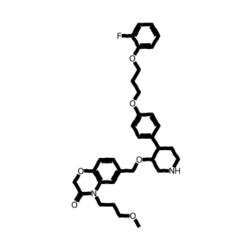 COCCCN1C(=O)COc2ccc(COC3CNCCC3c3ccc(OCCCOc4ccccc4F)cc3)cc21